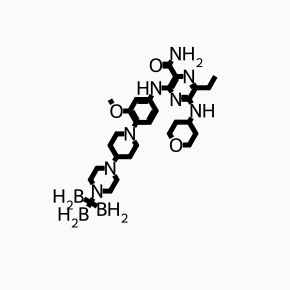 BC(B)(B)N1CCN(C2CCN(c3ccc(Nc4nc(NC5CCOCC5)c(CC)nc4C(N)=O)cc3OC)CC2)CC1